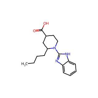 CCCCC1CC(C(=O)O)CCN1c1nc2ccccc2[nH]1